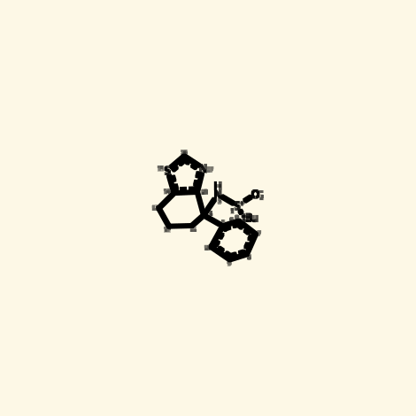 CC(C)(C)[S+]([O-])NC1(c2ccccc2)CCCc2scnc21